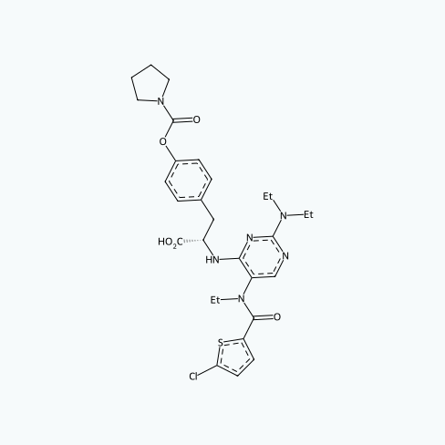 CCN(CC)c1ncc(N(CC)C(=O)c2ccc(Cl)s2)c(N[C@@H](Cc2ccc(OC(=O)N3CCCC3)cc2)C(=O)O)n1